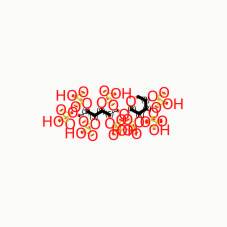 O=S(=O)(O)OC[C@H](OS(=O)(=O)O)[C@H](OS(=O)(=O)O)[C@@H](OS(=O)(=O)O)[C@H](CO[C@@H]1OC[C@@H](OS(=O)(=O)O)[C@@H](OS(=O)(=O)O)[C@H]1OS(=O)(=O)O)OS(=O)(=O)O